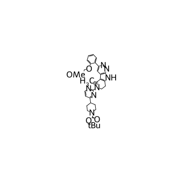 COCOc1ccccc1-c1cc2c3c([nH]c2nn1)CCN(c1nccc(C2CCN(C(=O)OC(C)(C)C)CC2)n1)[C@@H]3C